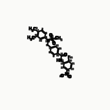 Cc1ccc(N(Cc2ccc(C(=O)Nc3cc([N+](=O)[O-])ccc3F)cc2)S(C)(=O)=O)cc1C